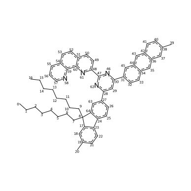 CCCCCCCCC1(CCCCCCCC)c2cc(C)ccc2-c2ccc(-c3cc(-c4ccc5cc6cc(C)ccc6cc5c4)nc(-c4ccc5ccc6cccnc6c5n4)n3)cc21